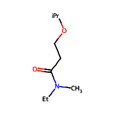 CCN(C)C(=O)CCOC(C)C